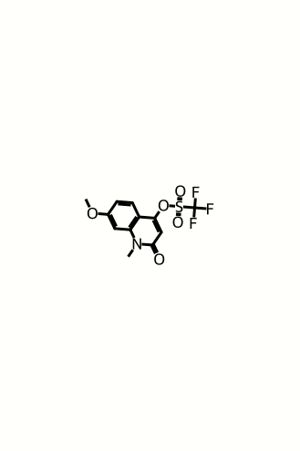 COc1ccc2c(OS(=O)(=O)C(F)(F)F)cc(=O)n(C)c2c1